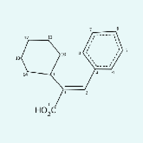 O=C(O)C(=Cc1ccccc1)C1CCCCC1